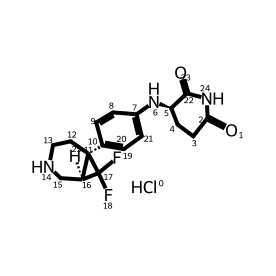 Cl.O=C1CC[C@@H](Nc2ccc([C@@]34CCNC[C@@H]3C4(F)F)cc2)C(=O)N1